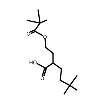 CC(C)(C)CCC(CCOC(=O)C(C)(C)C)C(=O)O